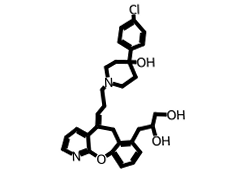 OCC(O)Cc1cccc2c1CC(=CCCN1CCC(O)(c3ccc(Cl)cc3)CC1)c1cccnc1O2